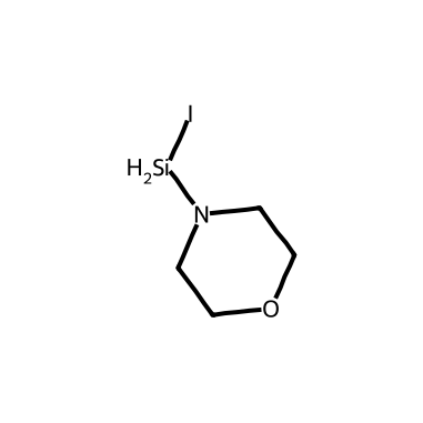 I[SiH2]N1CCOCC1